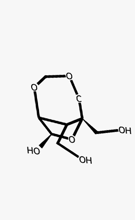 OCC1C2OCOC[C@]1(CO)O[C@H]2O